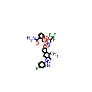 C[C@H]1C2=CNN(c3ccc(F)cc3)C2=CC2=C1[C@@H](CN(CC(O)C(F)(F)F)S(=O)(=O)Cc1ccccc1C(N)=O)CC2